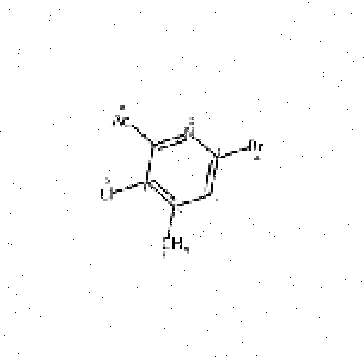 CC(=O)c1nc(Br)cc(C)c1Cl